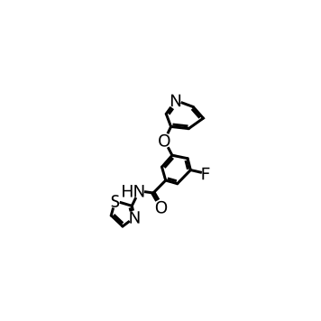 O=C(Nc1nccs1)c1cc(F)cc(Oc2cccnc2)c1